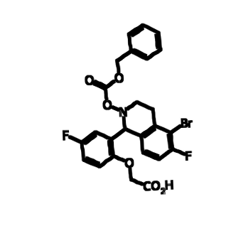 O=C(O)COc1ccc(F)cc1C1c2ccc(F)c(Br)c2CCN1OC(=O)OCc1ccccc1